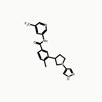 Cc1ccc(C(=O)Nc2cncc(C(F)(F)F)c2)cc1C1CCN(c2cn[nH]c2)C1